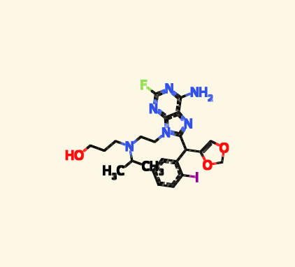 CC(C)N(CCCO)CCn1c(C(C2=COCO2)c2ccccc2I)nc2c(N)nc(F)nc21